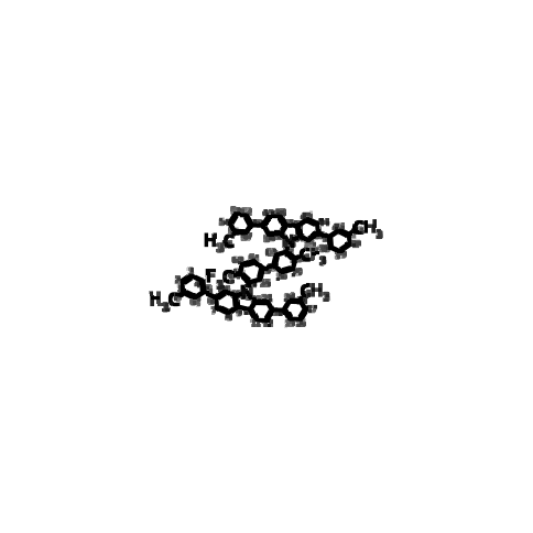 Cc1cccc(-c2ccc3c4ccc(-c5cccc(C)c5)cc4n(-c4cc(-c5ccc(C(F)(F)F)c(-n6c7cc(-c8cccc(C)c8)ccc7c7ccc(-c8cccc(C)c8)cc76)c5)ccc4C(F)(F)F)c3c2)c1